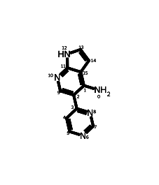 Nc1c(-c2ccncn2)cnc2[nH]ccc12